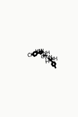 Cc1ccc(-c2cc(NCC(=O)Nc3cc(-c4ccc(Cl)cc4)[nH]n3)n[nH]2)cc1